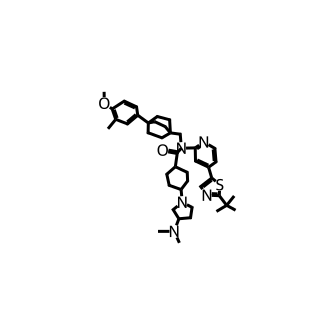 COc1ccc(C23CCC(CN(C(=O)C4CCC(N5CCC(N(C)C)C5)CC4)c4cc(-c5cnc(C(C)(C)C)s5)ccn4)(CC2)CC3)cc1C